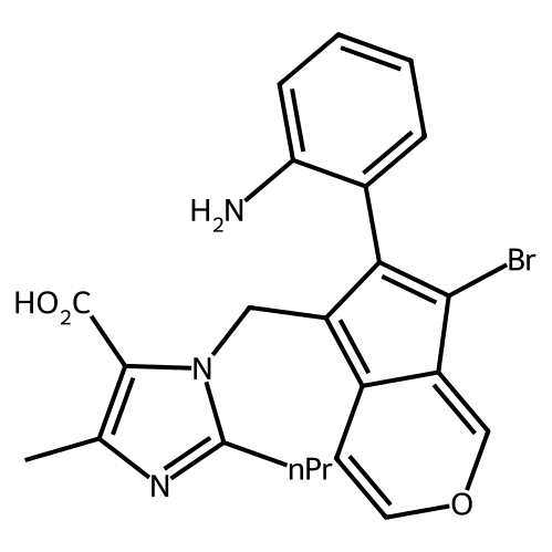 CCCc1nc(C)c(C(=O)O)n1Cc1c2ccocc-2c(Br)c1-c1ccccc1N